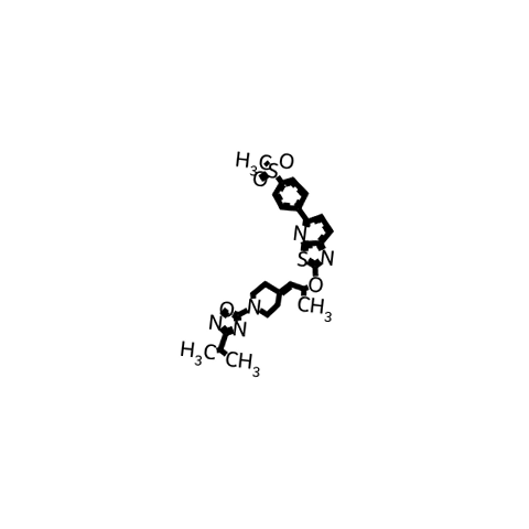 CC(C=C1CCN(c2nc(C(C)C)no2)CC1)Oc1nc2ccc(-c3ccc(S(C)(=O)=O)cc3)nc2s1